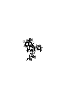 C=CC(=O)N1CCC(N(C)c2nc(OCC34CCCN3CC(F)C4)nc3cc(-c4ccc(F)c5sc(N)c(C#N)c45)c(F)cc23)C1COC